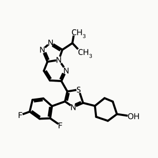 CC(C)c1nnc2ccc(-c3sc(C4CCC(O)CC4)nc3-c3ccc(F)cc3F)nn12